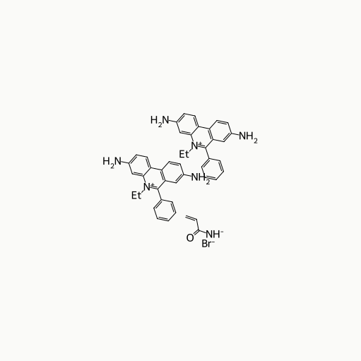 C=CC([NH-])=O.CC[n+]1c(-c2ccccc2)c2cc(N)ccc2c2ccc(N)cc21.CC[n+]1c(-c2ccccc2)c2cc(N)ccc2c2ccc(N)cc21.[Br-]